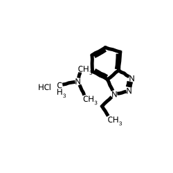 CCn1nnc2ccccc21.CN(C)C.Cl